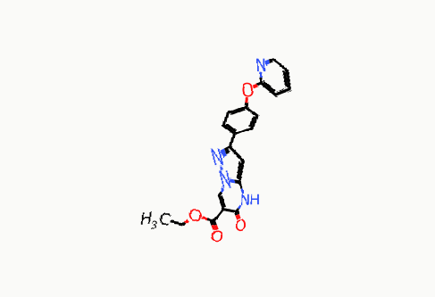 CCOC(=O)c1cn2nc(-c3ccc(Oc4ccccn4)cc3)cc2[nH]c1=O